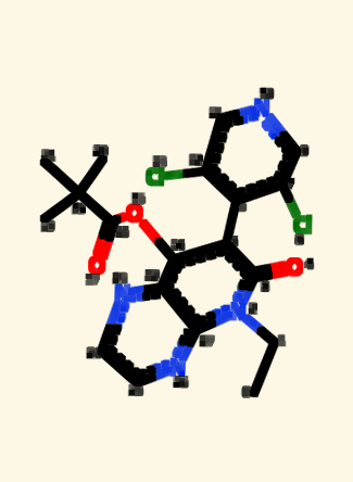 CCn1c(=O)c(-c2c(Cl)cncc2Cl)c(OC(=O)C(C)(C)C)c2nccnc21